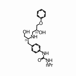 CCCNC(=O)Nc1ccc(C[C@@H](CO)NC[C@H](O)COc2ccccc2)cc1